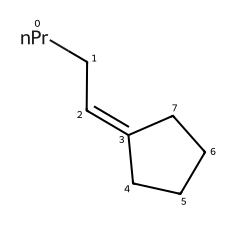 CCCCC=C1CCCC1